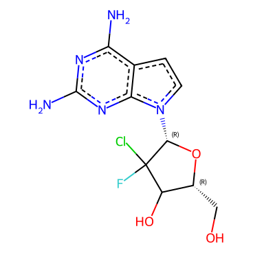 Nc1nc(N)c2ccn([C@@H]3O[C@H](CO)C(O)C3(F)Cl)c2n1